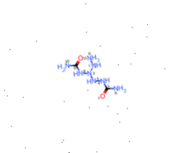 NNN(NNC(N)=O)NC(N)=O